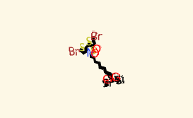 C[Si](C)(C)O[Si](C)(CCCCCCCCN1c2cc(Br)sc2-c2sc(Br)cc2S1(=O)=O)O[Si](C)(C)C